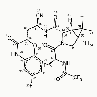 CC(C)[C@H](NC(=O)C(F)(F)F)C(=O)N1C[C@H]2[C@@H]([C@H]1C(=O)N[C@H](C#N)C[C@@H]1Oc3ccc(F)cc3NC1=O)C2(C)C